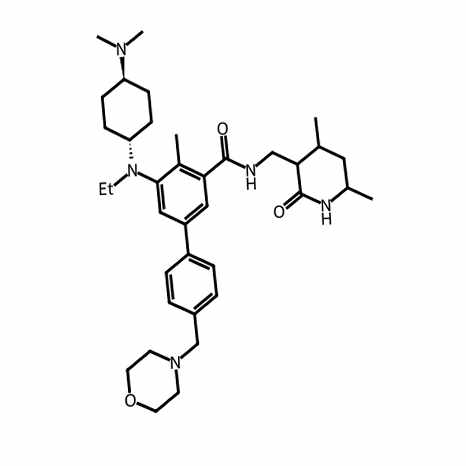 CCN(c1cc(-c2ccc(CN3CCOCC3)cc2)cc(C(=O)NCC2C(=O)NC(C)CC2C)c1C)[C@H]1CC[C@H](N(C)C)CC1